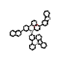 c1ccc(-c2ccc(-c3ccc4ccccc4c3)cc2N(c2ccc(-c3ccc4sc5ccccc5c4c3)cc2)c2ccc(-c3ccccc3-n3c4ccccc4c4ccccc43)cc2)cc1